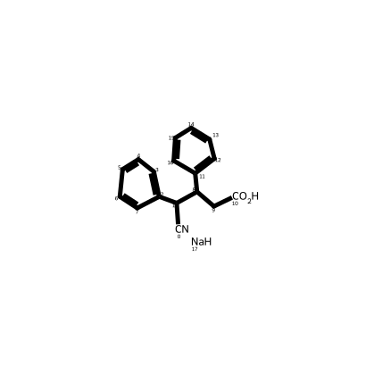 N#CC(c1ccccc1)C(CC(=O)O)c1ccccc1.[NaH]